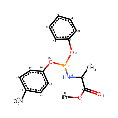 CC(C)OC(=O)C(C)NP(Oc1ccccc1)Oc1ccc([N+](=O)[O-])cc1